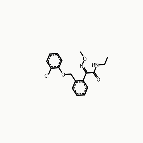 CCNC(=O)C(=NOC)c1ccccc1COc1ccccc1Cl